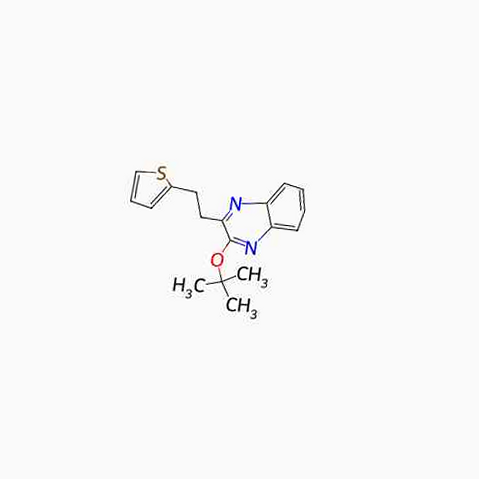 CC(C)(C)Oc1nc2ccccc2nc1CCc1cccs1